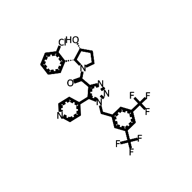 O=C(c1nnn(Cc2cc(C(F)(F)F)cc(C(F)(F)F)c2)c1-c1ccncc1)N1CC[C@@H](O)[C@H]1c1ccccc1Cl